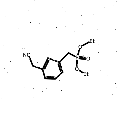 CCOP(=O)(Cc1cccc(CC#N)c1)OCC